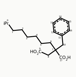 CC(C)CCCCCCC(CC(=O)O)(Cc1ccccc1)C(=O)O